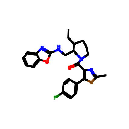 CCC1CCCN(C(=O)c2nc(C)sc2-c2ccc(F)cc2)C1CNc1nc2ccccc2o1